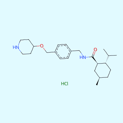 CC(C)[C@@H]1CC[C@@H](C)C[C@H]1C(=O)NCc1ccc(COC2CCNCC2)cc1.Cl